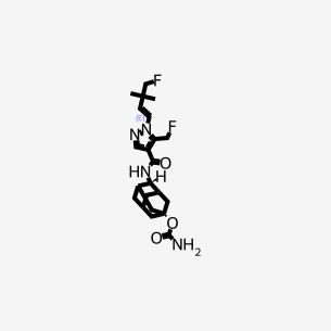 CC(C)(/C=C/n1ncc(C(=O)N[C@H]2C3CC4CC2C[C@](OC(N)=O)(C4)C3)c1CF)CF